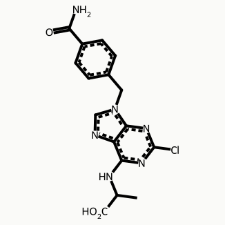 CC(Nc1nc(Cl)nc2c1ncn2Cc1ccc(C(N)=O)cc1)C(=O)O